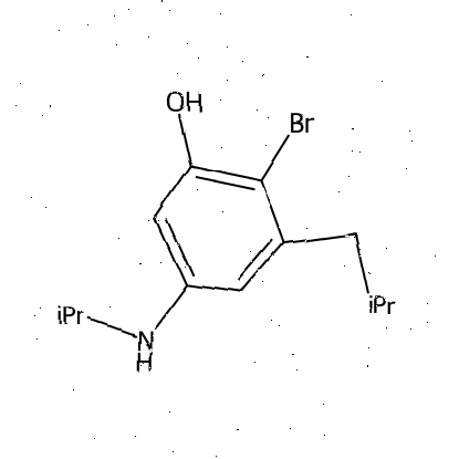 CC(C)Cc1cc(NC(C)C)cc(O)c1Br